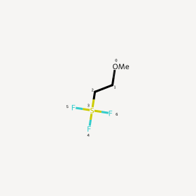 COCCS(F)(F)F